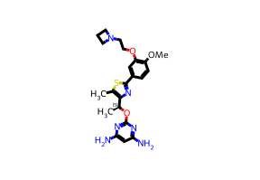 COc1ccc(-c2nc([C@H](C)Oc3nc(N)cc(N)n3)c(C)s2)cc1OCCN1CCC1